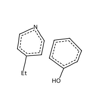 CCc1ccncc1.Oc1ccccc1